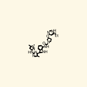 CCNc1cc(O[C@H]2CCN(CC(=O)Nc3cccc4c(-c5nc(Nc6cc(C)n(C)n6)ncc5C)c[nH]c34)C2)ncn1